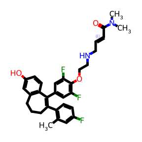 Cc1cc(F)ccc1C1=C(c2cc(F)c(OCCNC/C=C/C(=O)N(C)C)c(F)c2)c2ccc(O)cc2CCC1